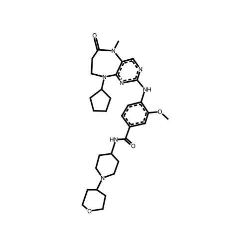 COc1cc(C(=O)NC2CCN(C3CCOCC3)CC2)ccc1Nc1ncc2c(n1)N(C1CCCC1)CCC(=O)N2C